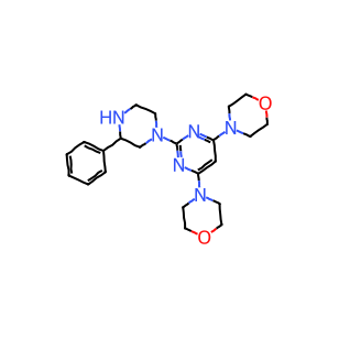 c1ccc(C2CN(c3nc(N4CCOCC4)cc(N4CCOCC4)n3)CCN2)cc1